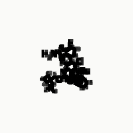 CN(C)CC1(COc2nc(N3CC4CCC(C3)N4C(=O)OC(C)(C)C)c3cc(Cl)c(-c4ccc(F)c5sc(N)nc45)c(F)c3n2)CCC1